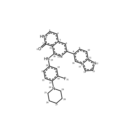 O=c1[nH]ccc2cc(-c3ccc4nccn4c3)nc(Nc3ccc(N4CCCCC4)c(F)c3)c12